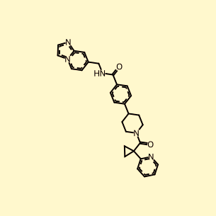 O=C(NCc1ccn2ccnc2c1)c1ccc(C2CCN(C(=O)C3(c4ccccn4)CC3)CC2)cc1